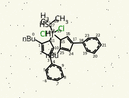 CCCCC1=CC(c2ccccc2)=C[CH]1[Hf]([Cl])([Cl])([CH]1C=C(c2ccccc2)C=C1CCCC)[SiH](C)C